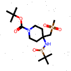 CC(C)(C)OC(=O)N1CCC(CS(C)(=O)=O)(N[S+]([O-])C(C)(C)C)CC1